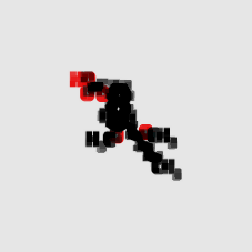 CCCCC[C@@H](CC[C@@H]1[C@H]2Cc3cccc(OCC(=O)O)c3C[C@H]2C[C@H]1OC)OC